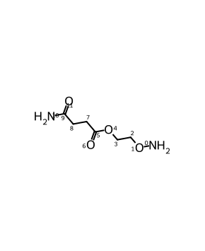 NOCCOC(=O)CCC(N)=O